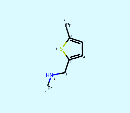 CC(C)NCc1ccc(C(C)C)s1